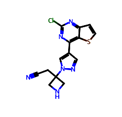 N#CCC1(n2cc(-c3nc(Cl)nc4ccsc34)cn2)CNC1